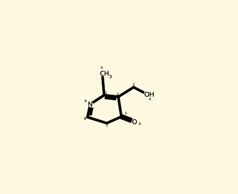 CC1=C(CO)C(=O)CC=N1